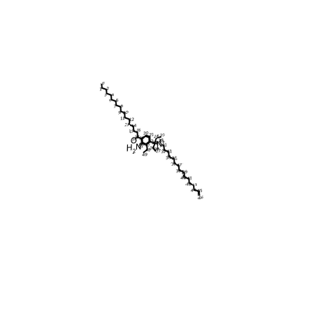 CCCCCCCCCCCCCCCCCC(=O)c1ccc(C(CC)(CC)[N+](C)(C)CCCCCCCCCCCCCCCC)c(CC)c1N